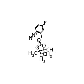 CC1(C)OB(OCc2cc(F)ccc2[N+]#N)OC1(C)C